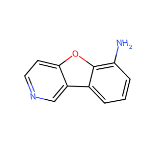 Nc1cccc2c1oc1ccncc12